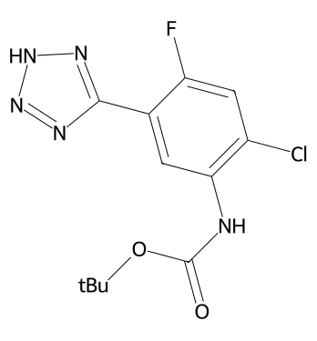 CC(C)(C)OC(=O)Nc1cc(-c2nn[nH]n2)c(F)cc1Cl